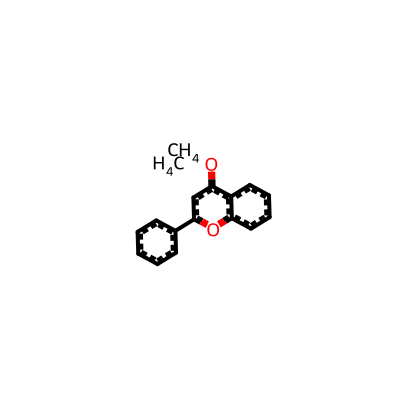 C.C.O=c1cc(-c2ccccc2)oc2ccccc12